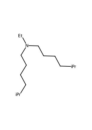 CCN(CCCCC(C)C)CCCCC(C)C